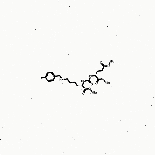 CC(C)(C)OC(=O)CC[C@H](NC(=O)N[C@@H](CCCCNCc1ccc(I)cc1)C(=O)OC(C)(C)C)C(=O)OC(C)(C)C